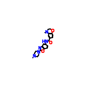 CN1CCN(c2nc3cc(NC(=O)c4ccc5c(c4)N(C)CCO5)ccc3o2)CC1